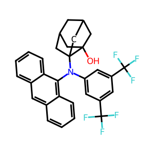 OC12CC3CC(C1)CC2(N(c1cc(C(F)(F)F)cc(C(F)(F)F)c1)c1c2ccccc2cc2ccccc12)C3